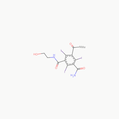 CNC(=O)c1c(I)c(C(N)=O)c(I)c(C(=O)NCCO)c1I